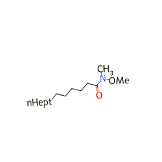 CCCCCCCCCCCCC(=O)N(C)OC